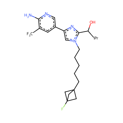 CC(C)C(O)c1nc(-c2cnc(N)c(C(F)(F)F)c2)cn1CCCCCC12CC(F)(C1)C2